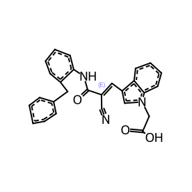 N#C/C(=C\c1cn(CC(=O)O)c2ccccc12)C(=O)Nc1ccccc1Cc1ccccc1